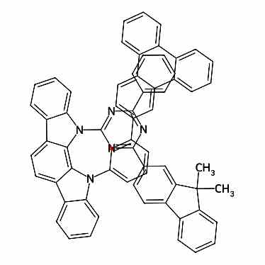 CC1(C)c2ccccc2-c2ccc(-c3nc(-c4ccccc4)nc(-n4c5ccccc5c5ccc6c7ccccc7n(-c7cccc(-c8ccc9c%10ccccc%10c%10ccccc%10c9c8)c7)c6c54)n3)cc21